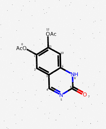 CC(=O)Oc1cc2cnc(=O)[nH]c2cc1OC(C)=O